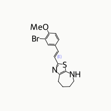 COc1ccc(/C=C/c2nc3c(s2)NCCCC3)cc1Br